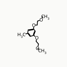 COCCOc1cc(C)cc(OCCOC)c1